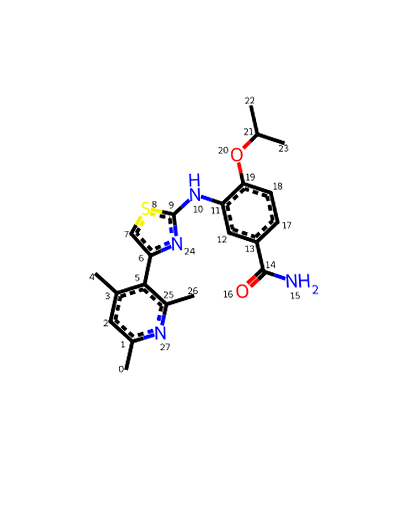 Cc1cc(C)c(-c2csc(Nc3cc(C(N)=O)ccc3OC(C)C)n2)c(C)n1